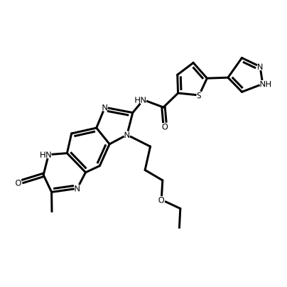 CCOCCCn1c(NC(=O)c2ccc(-c3cn[nH]c3)s2)nc2cc3[nH]c(=O)c(C)nc3cc21